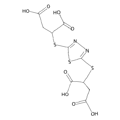 O=C(O)CC(Sc1nnc(SC(CC(=O)O)C(=O)O)s1)C(=O)O